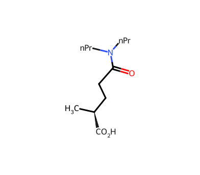 CCCN(CCC)C(=O)CC[C@H](C)C(=O)O